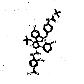 COc1cc(C(=O)O)ccc1NC(=O)[C@@H]1N[C@@H](CC(C)(C)C)[C@@]2(CN(Cc3ccc(NC(=O)OC(C)(C)C)cc3)c3cc(Cl)ccc32)[C@H]1c1cccc(Cl)c1F